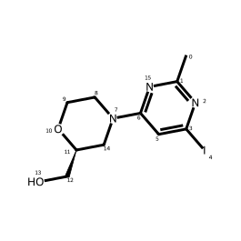 Cc1nc(I)cc(N2CCO[C@H](CO)C2)n1